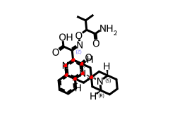 CC(C)C(O/N=C(\C(=O)O)c1nc2ccccc2n([C@H]2C[C@H]3CCC[C@@H](C2)N3[C@H]2C[C@@H]3CCC[C@@H](C3)C2)c1=O)C(N)=O